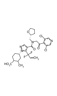 C=CC(F)(F)c1c(C(=O)N(CC(=O)c2c(Cl)cncc2Cl)C[C@H]2CCCO2)cnn1[C@H]1CCC(C(=O)O)C(C)C1